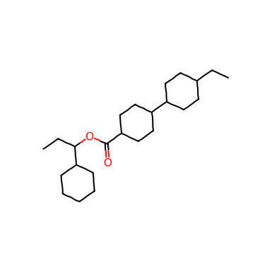 CCC1CCC(C2CCC(C(=O)OC(CC)C3CCCCC3)CC2)CC1